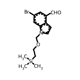 C[Si](C)(C)CCOCn1ccc2c(C=O)cc(Br)cc21